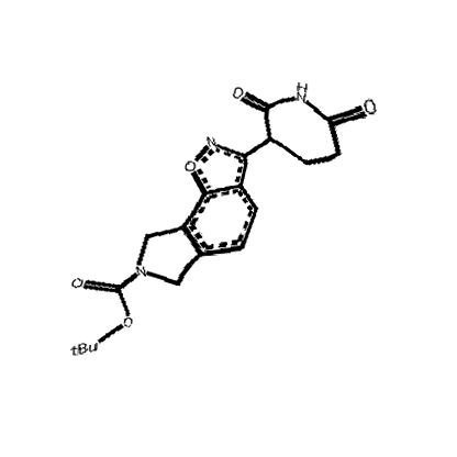 CC(C)(C)OC(=O)N1Cc2ccc3c(C4CCC(=O)NC4=O)noc3c2C1